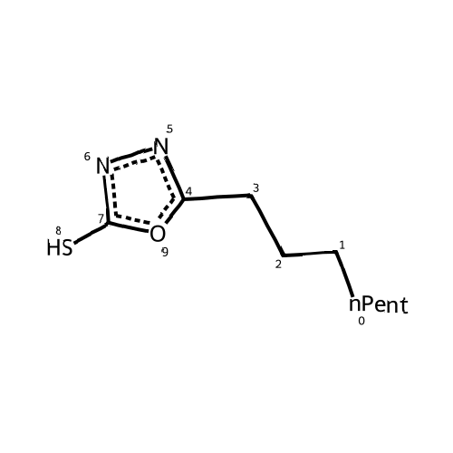 CCCCCCCCc1nnc(S)o1